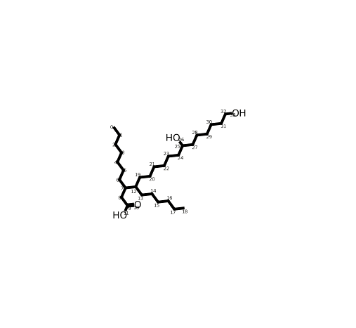 CCCCCCCC(CC(=O)O)C(CCCCCC)CCCCCCC(O)CCCCCCO